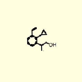 [CH2]C(CO)c1cccc(C=C)c1C1CC1